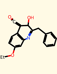 CCOc1ccc2c(c1)N=C(Cc1ccccc1)C(O)C2=C=O